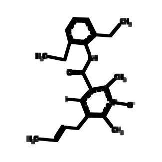 CC=CCc1c(I)c(C(=O)Nc2c(CC)cccc2CC)c(C)[n+]([O-])c1C